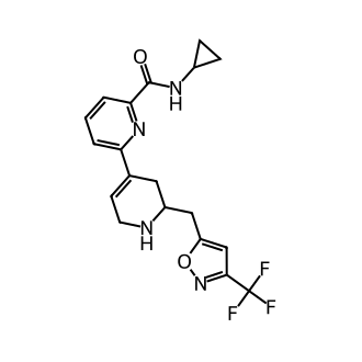 O=C(NC1CC1)c1cccc(C2=CCNC(Cc3cc(C(F)(F)F)no3)C2)n1